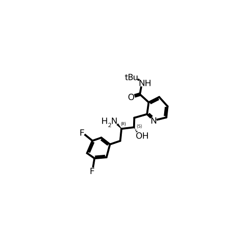 CC(C)(C)NC(=O)c1cccnc1C[C@H](O)[C@H](N)Cc1cc(F)cc(F)c1